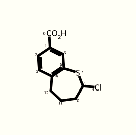 O=C(O)c1ccc2c(c1)SC(Cl)CCC2